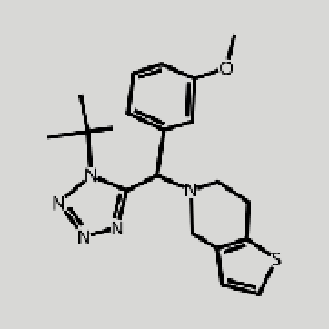 COc1cccc(C(c2nnnn2C(C)(C)C)N2CCc3sccc3C2)c1